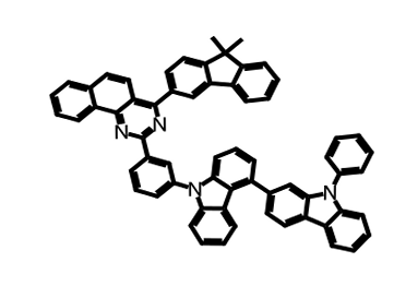 CC1(C)c2ccccc2-c2cc(-c3nc(-c4cccc(-n5c6ccccc6c6c(-c7ccc8c9ccccc9n(-c9ccccc9)c8c7)cccc65)c4)nc4c3ccc3ccccc34)ccc21